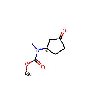 CN(C(=O)OC(C)(C)C)[C@@H]1CCC(=O)C1